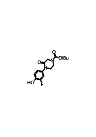 CC(C)COC(=O)N1CCN(c2ccc(O)c(F)c2)C(=O)C1